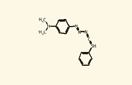 CN(C)c1ccc(N=NN=C=[SH]c2ccccc2)cc1